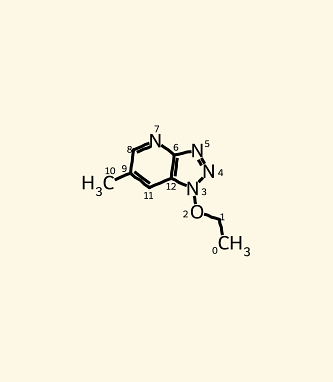 CCOn1nnc2ncc(C)cc21